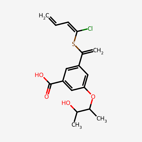 C=C/C=C(/Cl)SC(=C)c1cc(OC(C)C(C)O)cc(C(=O)O)c1